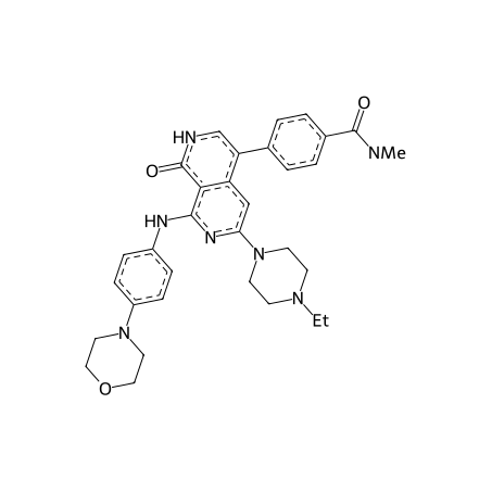 CCN1CCN(c2cc3c(-c4ccc(C(=O)NC)cc4)c[nH]c(=O)c3c(Nc3ccc(N4CCOCC4)cc3)n2)CC1